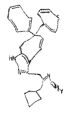 ON=C(c1n[nH]c2c1C=CC(c1ccccc1)(c1ccsc1)C2)C1CCC1